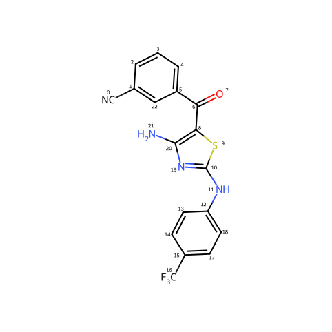 N#Cc1cccc(C(=O)c2sc(Nc3ccc(C(F)(F)F)cc3)nc2N)c1